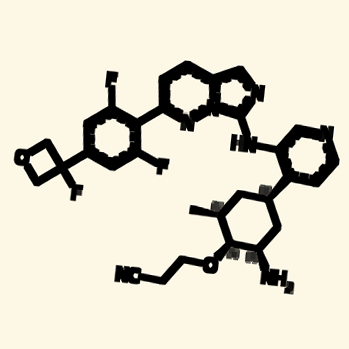 C[C@H]1C[C@@H](c2ccncc2Nc2ncc3ccc(-c4c(F)cc(C5(F)COC5)cc4F)nn23)C[C@@H](N)[C@H]1OCCC#N